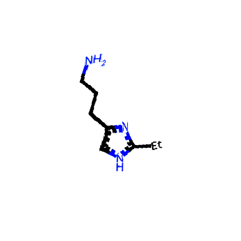 CCc1nc(CCCN)c[nH]1